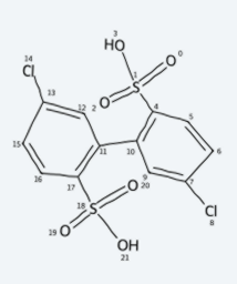 O=S(=O)(O)c1ccc(Cl)cc1-c1cc(Cl)ccc1S(=O)(=O)O